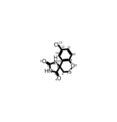 O=C1NC(=O)C2(CSOc3ccc(Cl)cc32)N1